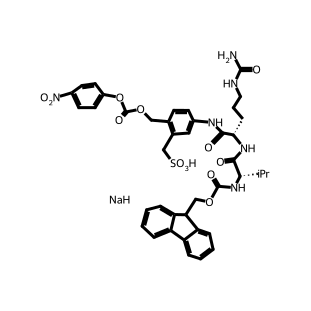 CC(C)[C@H](NC(=O)OCC1c2ccccc2-c2ccccc21)C(=O)N[C@@H](CCCNC(N)=O)C(=O)Nc1ccc(COC(=O)Oc2ccc([N+](=O)[O-])cc2)c(CS(=O)(=O)O)c1.[NaH]